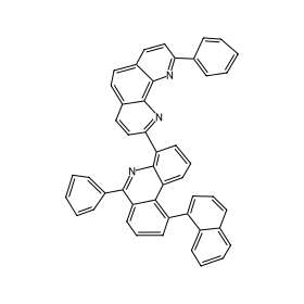 c1ccc(-c2ccc3ccc4ccc(-c5cccc6c5nc(-c5ccccc5)c5cccc(-c7cccc8ccccc78)c56)nc4c3n2)cc1